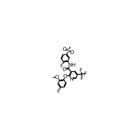 COc1cc(F)ccc1Oc1ncc(C(F)(F)F)cc1C(=O)Nc1cc(S(C)(=O)=O)ccc1F